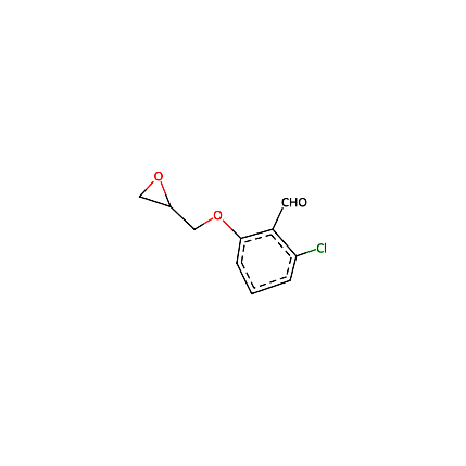 O=Cc1c(Cl)cccc1OCC1CO1